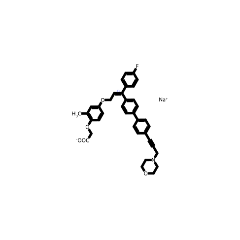 Cc1cc(OC/C=C(/c2ccc(F)cc2)c2ccc(-c3ccc(C#CCN4CCOCC4)cc3)cc2)ccc1OCC(=O)[O-].[Na+]